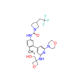 Cc1ccc(NC(=O)N2CCC(CC(F)(F)F)C2)cc1-c1cc(NC2(CO)COC2)nc(N2CCOCC2)c1